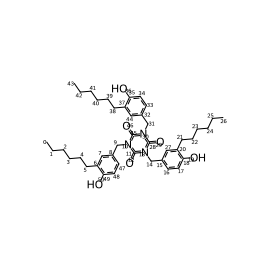 CCCCCCc1cc(Cn2c(=O)n(Cc3ccc(O)c(CCCCCC)c3)c(=O)n(Cc3ccc(O)c(CCCCCC)c3)c2=O)ccc1O